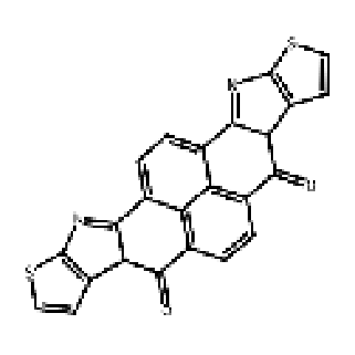 O=C1c2ccc3c4c(ccc(c24)C2=Nc4sccc4C12)C1=Nc2sccc2C1C3=O